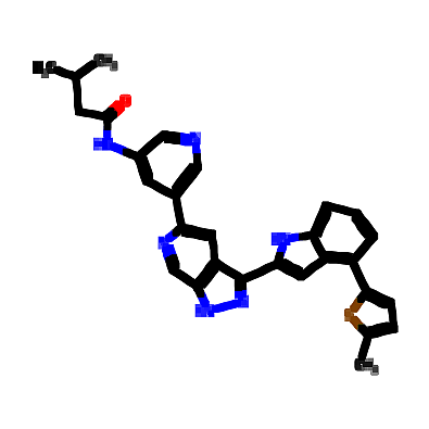 Cc1ccc(-c2cccc3[nH]c(-c4n[nH]c5cnc(-c6cncc(NC(=O)CC(C)C)c6)cc45)cc23)s1